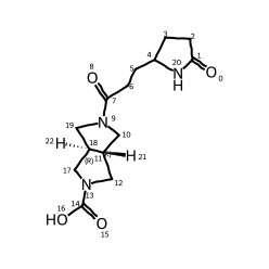 O=C1CCC(CCC(=O)N2C[C@@H]3CN(C(=O)O)C[C@H]3C2)N1